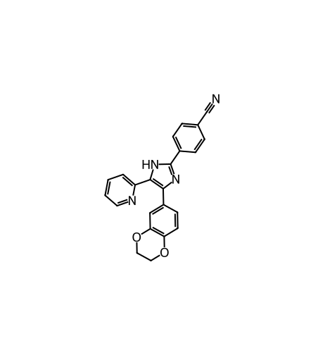 N#Cc1ccc(-c2nc(-c3ccc4c(c3)OCCO4)c(-c3ccccn3)[nH]2)cc1